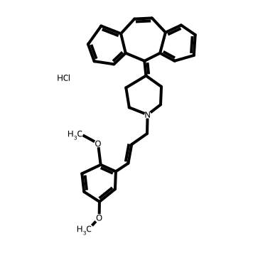 COc1ccc(OC)c(C=CCN2CCC(=C3c4ccccc4C=Cc4ccccc43)CC2)c1.Cl